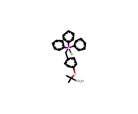 CCOC(=O)C(C)(C)Oc1ccc(CP(Br)(c2ccccc2)(c2ccccc2)c2ccccc2)cc1